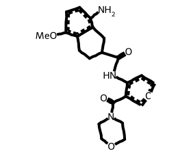 COc1ccc(N)c2c1CCC(C(=O)Nc1ccccc1C(=O)N1CCOCC1)C2